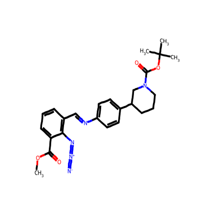 COC(=O)c1cccc(C=Nc2ccc(C3CCCN(C(=O)OC(C)(C)C)C3)cc2)c1N=[N+]=[N-]